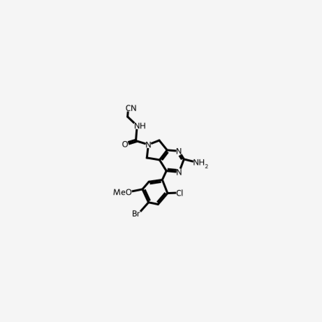 COc1cc(-c2nc(N)nc3c2CN(C(=O)NCC#N)C3)c(Cl)cc1Br